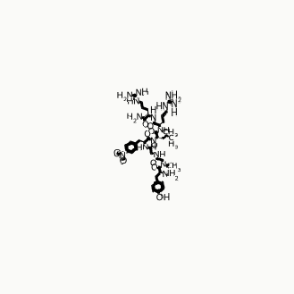 CC(C)C[C@H](NC(=O)[C@H](Cc1ccc([N+](=O)[O-])cc1)NC(=O)CNC(=O)CN(C)C(=O)[C@@H](N)Cc1ccc(O)cc1)C(=O)N[C@H](CCCNC(=N)N)C(=O)N[C@H](CCCNC(=N)N)C(N)=O